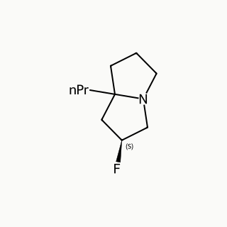 CCCC12CCCN1C[C@@H](F)C2